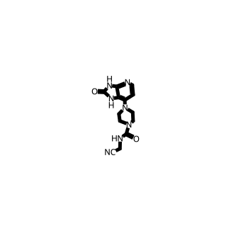 N#CCNC(=O)N1CCN(c2ccnc3[nH]c(=O)[nH]c23)CC1